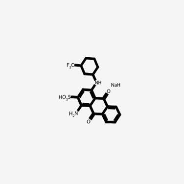 Nc1c(S(=O)(=O)O)cc(NC2CCCC(C(F)(F)F)C2)c2c1C(=O)c1ccccc1C2=O.[NaH]